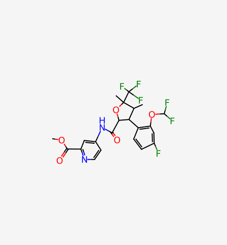 COC(=O)c1cc(NC(=O)C2OC(C)(C(F)(F)F)C(C)C2c2ccc(F)cc2OC(F)F)ccn1